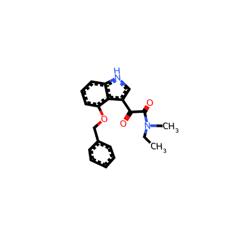 CCN(C)C(=O)C(=O)c1c[nH]c2cccc(OCc3ccccc3)c12